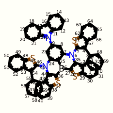 c1ccc(-c2c(N3c4cc(-n5c6ccccc6c6ccccc65)cc5c4B(c4sc6ccccc6c43)c3sc4ccccc4c3N5c3sc4ccccc4c3-c3ccccc3)sc3ccccc23)cc1